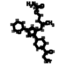 CC(C)CC(=O)N1CCC(c2nn(C3CCCCO3)cc2CN(C)CCOC(N)=O)CC1